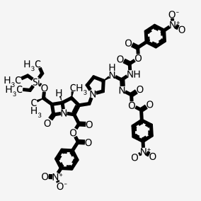 CC[Si](CC)(CC)O[C@H](C)C1C(=O)N2C(C(=O)OC(=O)c3ccc([N+](=O)[O-])cc3)=C(CN3CC[C@@H](NC(=NC(=O)OC(=O)c4ccc([N+](=O)[O-])cc4)NC(=O)OC(=O)c4ccc([N+](=O)[O-])cc4)C3)[C@H](C)[C@H]12